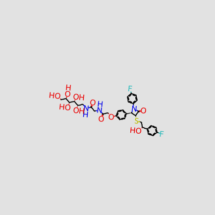 O=C(CNC(=O)COc1ccc([C@@H]2[C@@H](SCC(O)c3ccc(F)cc3)C(=O)N2c2ccc(F)cc2)cc1)NC[C@H](O)[C@@H](O)[C@H](O)[C@H](O)CO